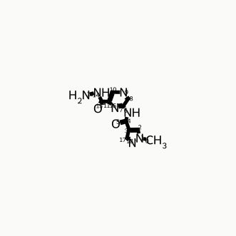 Cn1cc(C(=O)Nc2cncc(C(=O)NN)n2)cn1